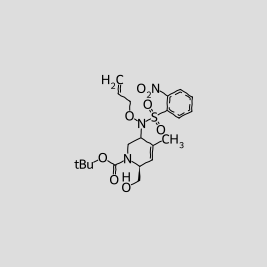 C=CCON(C1CN(C(=O)OC(C)(C)C)[C@H](CO)C=C1C)S(=O)(=O)c1ccccc1[N+](=O)[O-]